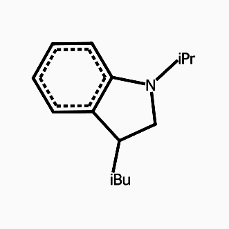 CCC(C)C1CN(C(C)C)c2ccccc21